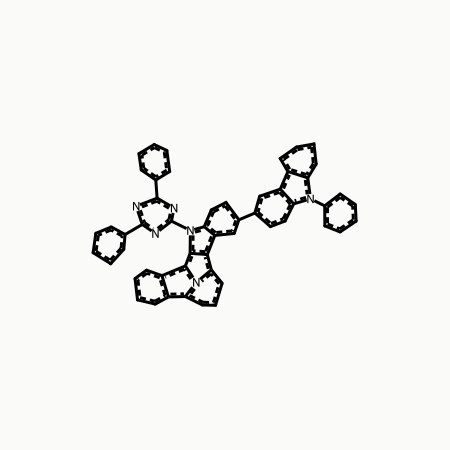 c1ccc(-c2nc(-c3ccccc3)nc(-n3c4ccc(-c5ccc6c(c5)c5ccccc5n6-c5ccccc5)cc4c4c3c3c5ccccc5c5cccc4n53)n2)cc1